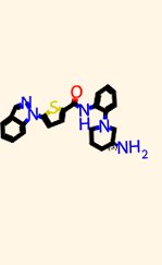 N[C@H]1CCCN(c2ccccc2NC(=O)c2ccc(-n3ncc4ccccc43)s2)C1